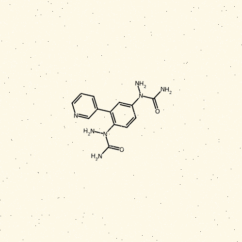 NC(=O)N(N)c1ccc(N(N)C(N)=O)c(-c2cccnc2)c1